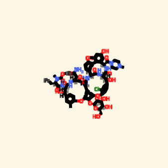 Cc1cc2ccc1Oc1cc3cc(c1O[C@@H]1O[C@H](CO)[C@@H](O)[C@H](O)[C@H]1O)Oc1ccc(cc1Cl)[C@@H](O)[C@@H]1NC(=O)[C@H](NC(=O)[C@@H]3NC(=O)[C@H](CC(N)=O)NC(=O)[C@H](NC(=O)[C@@H](CC(C)C)N(C)C(=O)OC(C)(C)C)[C@@H]2O)c2ccc(O)c(c2)-c2c(C)cc(O)cc2[C@@H](C(=O)N2CCN(C)CC2)NC1=O